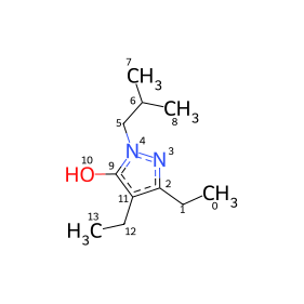 CCc1nn(CC(C)C)c(O)c1CC